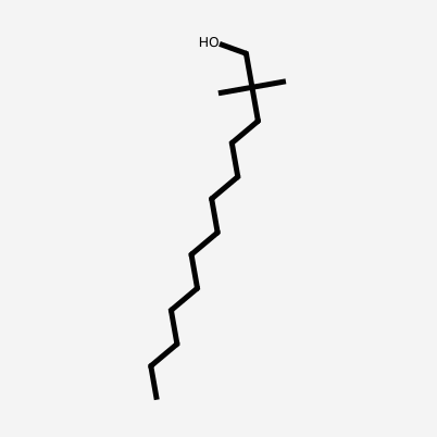 CCCCCCCCCCCC(C)(C)CO